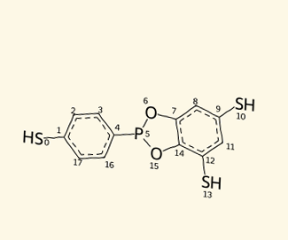 Sc1ccc(P2Oc3cc(S)cc(S)c3O2)cc1